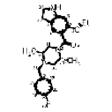 CCOc1cc2c(cc1C(=O)N1C[C@H](C)N(Cc3ccc(F)cc3)C[C@H]1C)CCN2